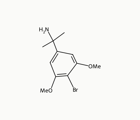 COc1cc(C(C)(C)N)cc(OC)c1Br